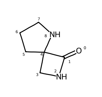 O=C1NCC12CCCN2